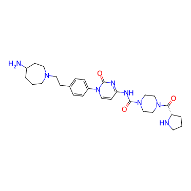 NC1CCCN(CCc2ccc(-n3ccc(NC(=O)N4CCN(C(=O)[C@@H]5CCCN5)CC4)nc3=O)cc2)CC1